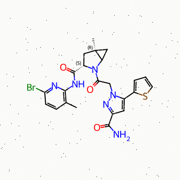 Cc1ccc(Br)nc1NC(=O)[C@@H]1C[C@@]2(C)CC2N1C(=O)Cn1nc(C(N)=O)cc1-c1cccs1